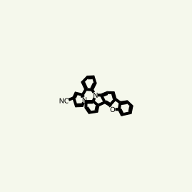 N#Cc1ccnc(-c2ccccc2-n2c3ccccc3c3c4oc5ccccc5c4ccc32)c1